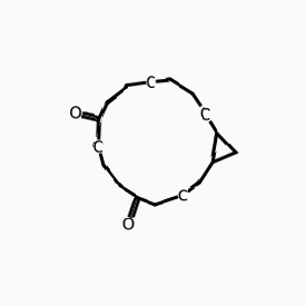 O=C1CCCCCCC2CC2CCCC(=O)CCC1